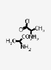 CC(N)C(=O)Cl.CC(N)C(=O)O